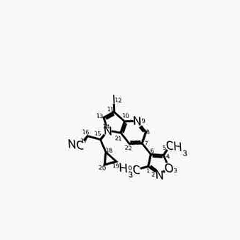 Cc1noc(C)c1-c1cnc2c(I)cn(C(CC#N)C3CC3)c2c1